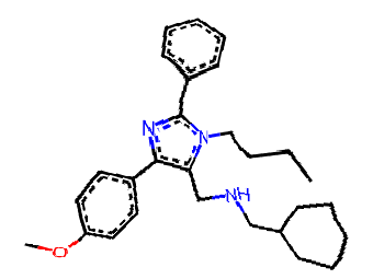 CCCCn1c(-c2ccccc2)nc(-c2ccc(OC)cc2)c1CNCC1CCCCC1